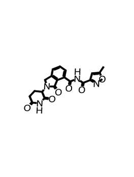 Cc1cc(C(=O)NC(=O)c2cccc3c2C(=O)N(C2CCC(=O)NC2=O)C3)no1